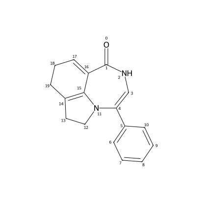 O=C1NC=C(c2ccccc2)N2CCC3=C2C1=CCC3